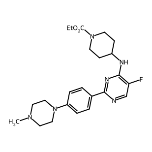 CCOC(=O)N1CCC(Nc2nc(-c3ccc(N4CCN(C)CC4)cc3)ncc2F)CC1